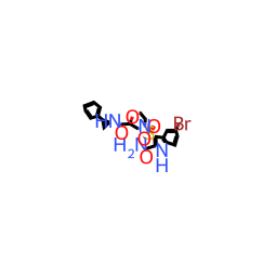 NC(=O)c1[nH]c2ccc(Br)cc2c1S(=O)(=O)N1CCOC(C(=O)NC2CC2c2ccccc2)C1